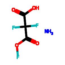 N.O=C(O)C(F)(F)C(=O)OF